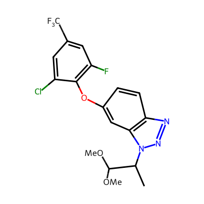 COC(OC)C(C)n1nnc2ccc(Oc3c(F)cc(C(F)(F)F)cc3Cl)cc21